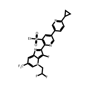 CCS(=O)(=O)c1cc(-c2ccc(C3CC3)nc2)cnc1-c1nc2cc(C(F)(F)F)cn(CC(F)F)c-2c1F